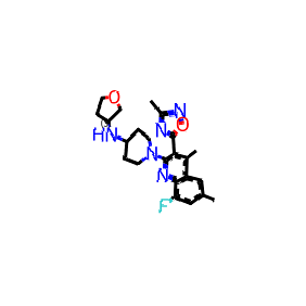 Cc1cc(F)c2nc(N3CCC(N[C@H]4CCOC4)CC3)c(-c3nc(C)no3)c(C)c2c1